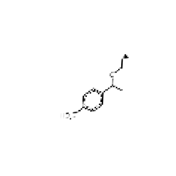 CCC(C)COC(C)c1ccc(C(=O)O)cc1